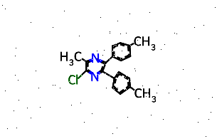 Cc1ccc(-c2nc(C)c(Cl)nc2-c2ccc(C)cc2)cc1